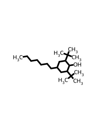 CCCCCCCC1CC(C(C)(C)C)C(O)C(C(C)(C)C)C1